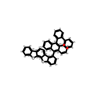 c1ccc(-c2ccccc2-c2c3ccccc3c(-c3cccc4oc5c(ccc6c7ccccc7oc65)c34)c3ccccc23)cc1